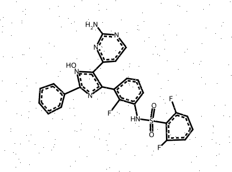 Nc1nccc(-c2c(-c3cccc(NS(=O)(=O)c4c(F)cccc4F)c3F)nc(-c3ccccc3)n2O)n1